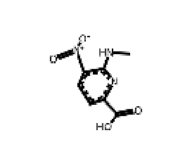 CNc1nc(C(=O)O)ccc1[N+](=O)[O-]